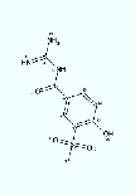 CS(=O)(=O)c1cc(C(=O)NC(=N)N)ccc1O